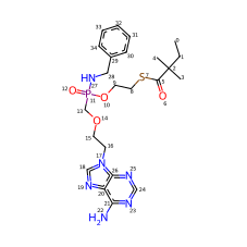 CCC(C)(C)C(=O)SCCOP(=O)(COCCn1cnc2c(N)ncnc21)NCc1ccccc1